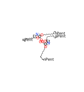 CCCCC/C=C\C/C=C\CCCCCCCCOc1cc(COC(=O)OCc2cc(OCCCCCCCC/C=C\C/C=C\CCCCC)c(C)c(C(CC)N(C)C)c2OCCCCCCCC/C=C\C/C=C\CCCCC)c(OCCCCCCCC/C=C\C/C=C\CCCCC)c(C(CC)N(C)C)c1C